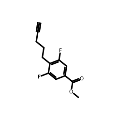 C#CCCCc1c(F)cc(C(=O)OC)cc1F